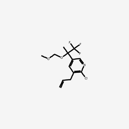 C=CCc1cc(C(C)(OCOC)C(F)(F)F)cnc1Cl